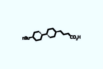 CCCC[C@H]1CC[C@H]([C@H]2CC[C@H](CCCC(=O)O)CC2)CC1